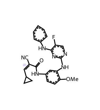 COc1ccc(NC(=O)/C(C#N)=C\C2CC2)cc1Nc1ncc(F)c(Nc2ccccc2)n1